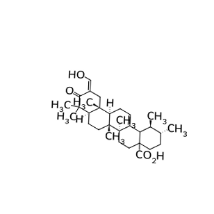 C[C@@H]1CCC2(C(=O)O)CC[C@]3(C)C(=CC[C@@H]4[C@@]5(C)C/C(=C/O)C(=O)C(C)(C)[C@@H]5CC[C@]43C)C2[C@H]1C